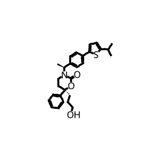 CC(C)c1ccc(-c2ccc([C@H](C)N3CC[C@](CCCO)(c4ccccc4)OC3=O)cc2)s1